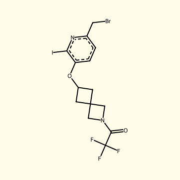 O=C(N1CC2(CC(Oc3ccc(CBr)nc3I)C2)C1)C(F)(F)F